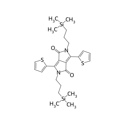 C[Si](C)(C)CCCN1C(=O)C2=C(c3cccs3)N(CCC[Si](C)(C)C)C(=O)C2=C1c1cccs1